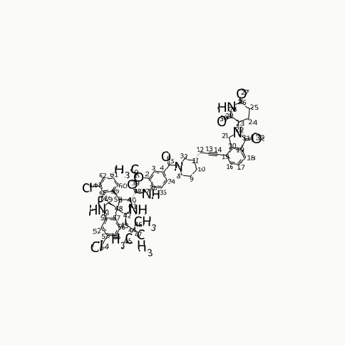 COc1cc(C(=O)N2CCC[C@@H](CC#Cc3cccc4c3CN(C3CCC(=O)NC3=O)C4=O)C2)ccc1NC(=O)[C@@H]1N[C@@H](CC(C)(C)C)[C@@]2(CNc3cc(Cl)ccc32)[C@H]1c1cccc(Cl)c1F